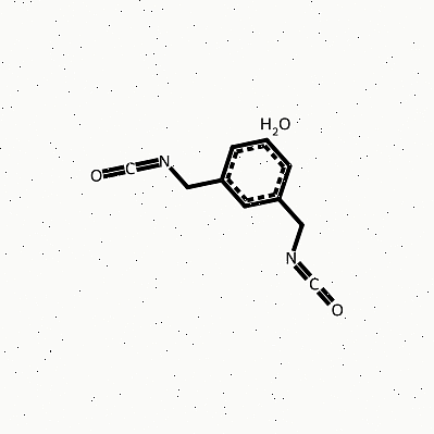 O.O=C=NCc1cccc(CN=C=O)c1